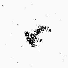 COc1c([C@@H]2c3ccc(O)cc3CC[C@@H]2c2ccccc2)ccc(N2CCC3(CC2)CC(C(OC)OC)C3)c1F